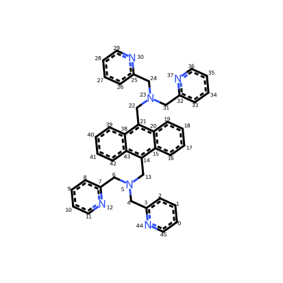 c1ccc(CN(Cc2ccccn2)Cc2c3ccccc3c(CN(Cc3ccccn3)Cc3ccccn3)c3ccccc23)nc1